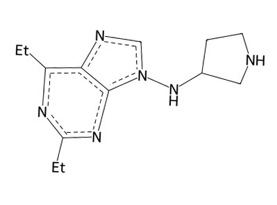 CCc1nc(CC)c2ncn(NC3CCNC3)c2n1